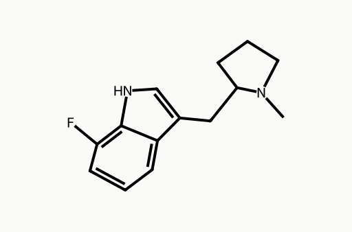 CN1CCCC1Cc1c[nH]c2c(F)cccc12